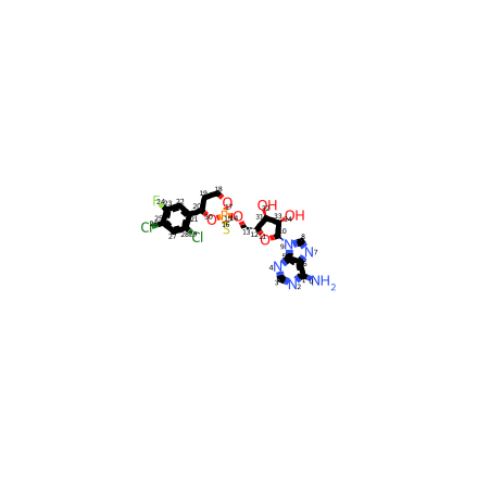 Nc1ncnc2c1ncn2[C@@H]1O[C@H](COP2(=S)OCCC(c3cc(F)c(Cl)cc3Cl)O2)[C@@H](O)[C@H]1O